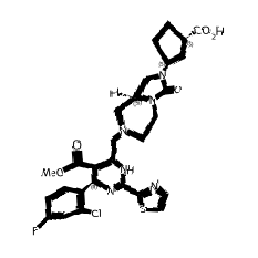 COC(=O)C1=C(CN2CCN3C(=O)N([C@H]4CC[C@H](C(=O)O)C4)C[C@@H]3C2)NC(c2nccs2)=N[C@H]1c1ccc(F)cc1Cl